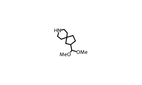 COC(OC)C1CCC2(CCNCC2)C1